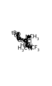 Cc1cnc(-c2cc(OC[C@H]3CN(C(=O)OC(C)(C)C)CCO3)cc(C(=O)N[C@H](C)c3cnc(C(F)(F)F)nc3)c2Cl)s1